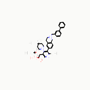 Cc1nc(C)c(C(OC(C)(C)C)C(=O)O)c(N2CCC(C)(C)CC2)c1-c1ccc2c(c1)CCN(Cc1cccc(-c3ccccc3)c1)C2